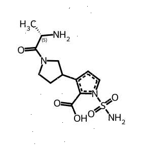 C[C@H](N)C(=O)N1CCC(c2ccn(S(N)(=O)=O)c2C(=O)O)C1